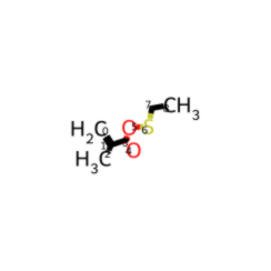 C=C(C)C(=O)OSCC